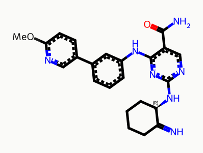 COc1ccc(-c2cccc(Nc3nc(N[C@@H]4CCCCC4=N)ncc3C(N)=O)c2)cn1